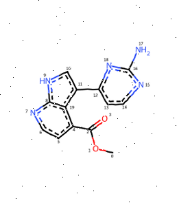 COC(=O)c1ccnc2[nH]cc(-c3ccnc(N)n3)c12